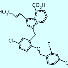 O=C(O)/C=C/c1cn(Cc2cc(Cl)ccc2OCc2ccc(Cl)cc2F)c2cccc(C(=O)O)c12